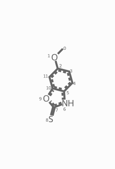 COc1ccc2[nH]c(=S)oc2c1